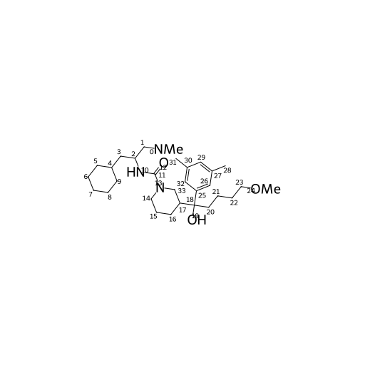 CNCC(CC1CCCCC1)NC(=O)N1CCCC(C(O)(CCCCOC)c2cc(C)cc(C)c2)C1